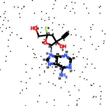 C#C[C@@]1(O)C[C@@](F)(CO)O[C@H]1n1cnc2c(N)ncnc21